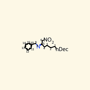 CCCCCCCCCCCCCCC(C[N+](=O)[O-])=NCc1ccccc1